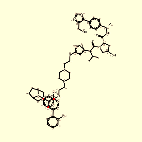 CC(C)C(C(=O)N1C[C@H](O)C[C@H]1C(=O)N[C@@H](C)c1ccc(-c2scnc2CO)cc1)c1cc(OCCN2CCN(CCOc3cc(N4C5CCC4CN(c4cc(-c6ccccc6O)nnc4N)C5)ccn3)CC2)no1